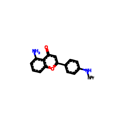 CCCNc1ccc(-c2cc(=O)c3c(N)cccc3o2)cc1